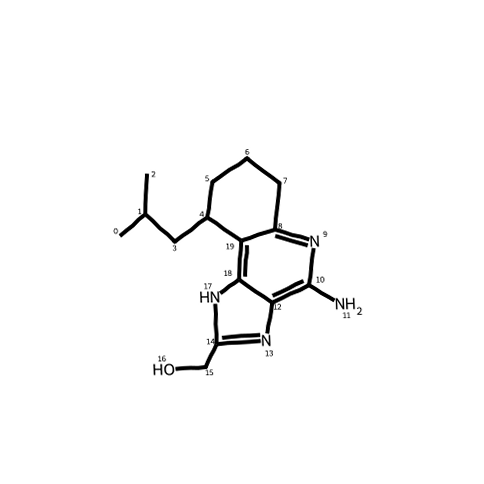 CC(C)CC1CCCc2nc(N)c3nc(CO)[nH]c3c21